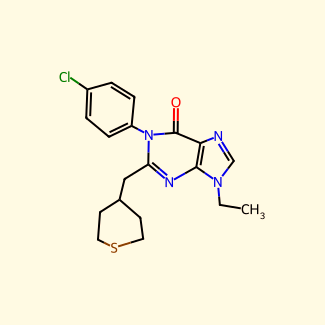 CCn1cnc2c(=O)n(-c3ccc(Cl)cc3)c(CC3CCSCC3)nc21